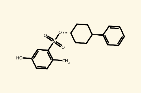 Cc1ccc(O)cc1S(=O)(=O)O[C@H]1CC[C@H](c2ccccc2)CC1